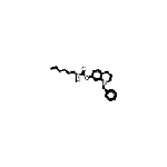 CCCCCCNC(=O)Oc1ccc2c(c1)N(Cc1ccccc1)CCC2